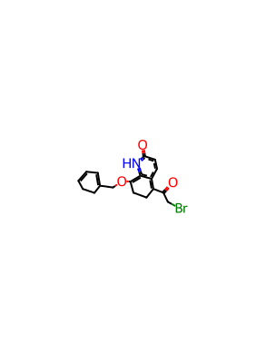 O=C(CBr)C1=c2ccc(=O)[nH]c2=C(OCC2=CC=CCC2)CC1